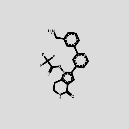 NCc1cccc(-c2cc(-c3cc4c(n3OC(=O)C(F)(F)F)CCNC4=O)ccn2)c1